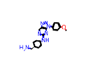 COc1ccc(-n2nnc3cnc(N[C@H]4CC[C@H](CN)CC4)nc32)cc1